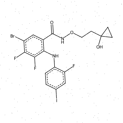 O=C(NOCCC1(O)CC1)c1cc(Br)c(F)c(F)c1Nc1ccc(I)cc1F